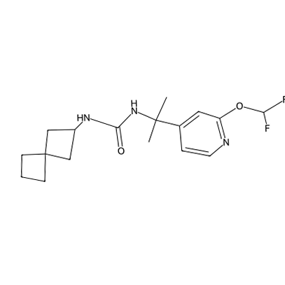 CC(C)(NC(=O)NC1CC2(CCC2)C1)c1ccnc(OC(F)F)c1